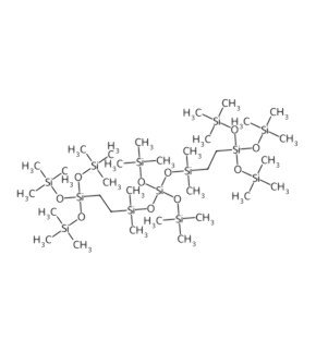 C[Si](C)(C)O[Si](CC[Si](C)(C)O[Si](O[Si](C)(C)C)(O[Si](C)(C)C)O[Si](C)(C)CC[Si](O[Si](C)(C)C)(O[Si](C)(C)C)O[Si](C)(C)C)(O[Si](C)(C)C)O[Si](C)(C)C